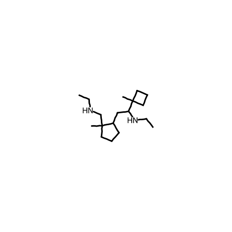 CCNCC1(C)CCCC1CC(NCC)C1(C)CCC1